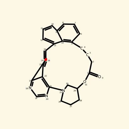 O=C1CCCc2cccc3cccc(c23)-c2cc3ncnc(c3cn2)N2CCCC(C2)O1